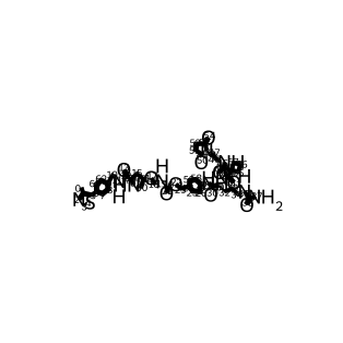 Cc1ncsc1-c1ccc(CNC(=O)[C@@H]2C[C@@H](OCNC(=O)OCc3ccc(NC(=O)[C@H](CCCNC(N)=O)NC(=O)C4(C(=O)NCCN5C(=O)C=CC5=O)CCC4)cc3)CN2)cc1